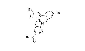 CCC(CC)COc1ccc(Br)cc1Cn1ncc2cc(C(=O)N=O)cnc21